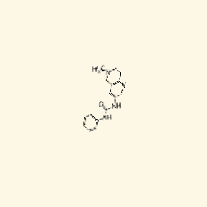 CN1CCc2ncc(NC(=O)Nc3ccccc3)cc2C1